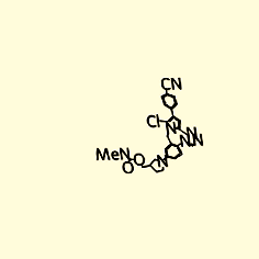 CNC(=O)OCC1CCN(c2ccc3c(c2)Cn2c(cc(-c4ccc(C#N)cc4)c2Cl)-c2nncn2-3)C1